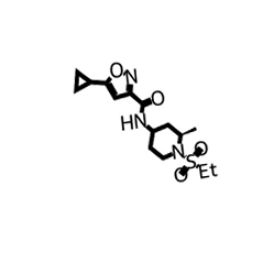 CCS(=O)(=O)N1CCC(NC(=O)c2cc(C3CC3)on2)C[C@H]1C